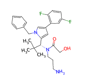 CC(C)(C)[C@H](c1cc(-c2cc(F)ccc2F)cn1Cc1ccccc1)N(CCCN)C(=O)CO